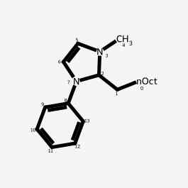 CCCCCCCCCC1N(C)C=CN1c1ccccc1